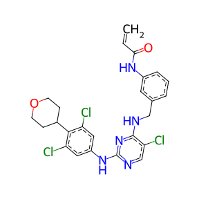 C=CC(=O)Nc1cccc(CNc2nc(Nc3cc(Cl)c(C4CCOCC4)c(Cl)c3)ncc2Cl)c1